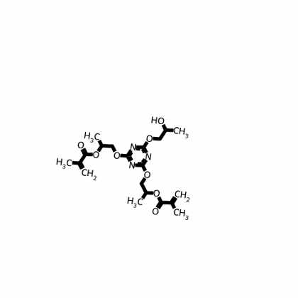 C=C(C)C(=O)OC(C)COc1nc(OCC(C)O)nc(OCC(C)OC(=O)C(=C)C)n1